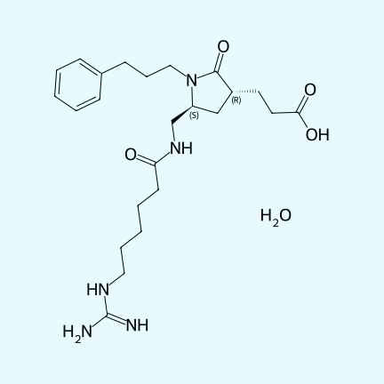 N=C(N)NCCCCCC(=O)NC[C@@H]1C[C@@H](CCC(=O)O)C(=O)N1CCCc1ccccc1.O